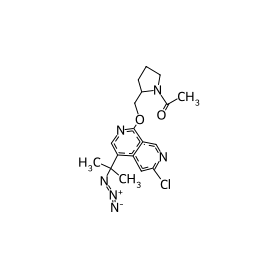 CC(=O)N1CCCC1COc1ncc(C(C)(C)N=[N+]=[N-])c2cc(Cl)ncc12